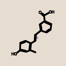 Cc1cc(O)ccc1/C=C/c1cccc(C(=O)O)c1